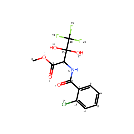 COC(=O)C(NC(=O)c1ccccc1Cl)C(O)(O)C(F)(F)F